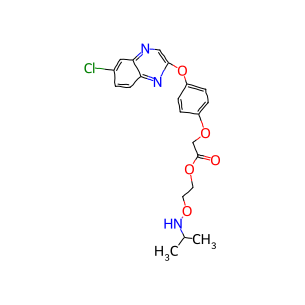 CC(C)NOCCOC(=O)COc1ccc(Oc2cnc3cc(Cl)ccc3n2)cc1